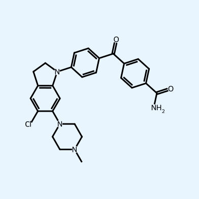 CN1CCN(c2cc3c(cc2Cl)CCN3c2ccc(C(=O)c3ccc(C(N)=O)cc3)cc2)CC1